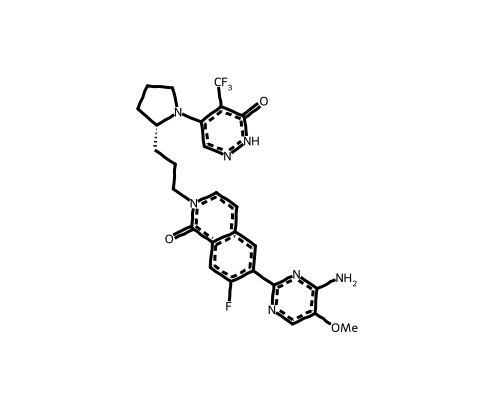 COc1cnc(-c2cc3ccn(CCC[C@@H]4CCCN4c4cn[nH]c(=O)c4C(F)(F)F)c(=O)c3cc2F)nc1N